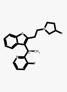 C[C@@H](c1ncccc1F)c1c(CCN2CCC(F)C2)sc2ccccc12